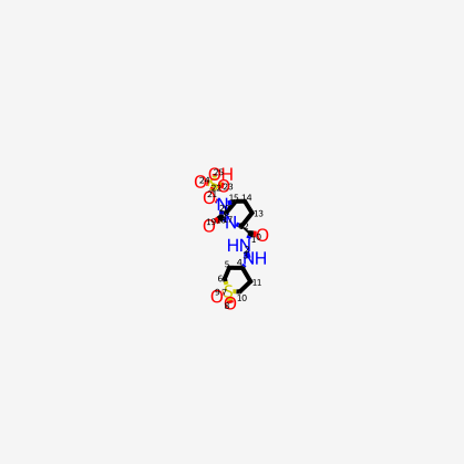 O=C(NNC1CCS(=O)(=O)CC1)[C@@H]1CCC2CN1C(=O)N2OS(=O)(=O)O